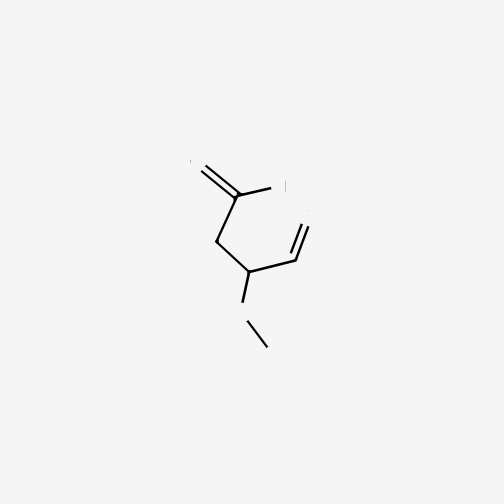 COC(C=O)CC(=O)Cl